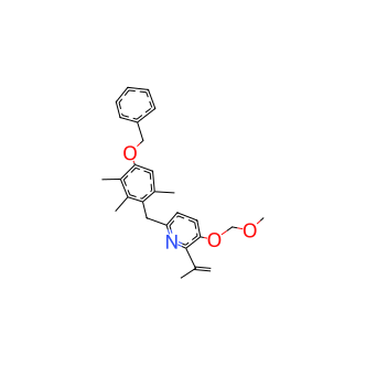 C=C(C)c1nc(Cc2c(C)cc(OCc3ccccc3)c(C)c2C)ccc1OCOC